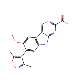 COc1cc2c(cc1-c1c(C)noc1C)[nH]c1nc(C(=O)O)ncc12